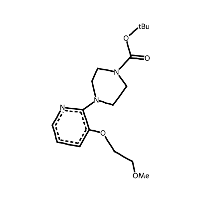 COCCOc1cccnc1N1CCN(C(=O)OC(C)(C)C)CC1